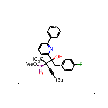 CO[PH](=O)C(C#CC(C)(C)C)(C(=O)O)C(O)(Cc1ccc(F)cc1)c1cccc(-c2ccccc2)n1